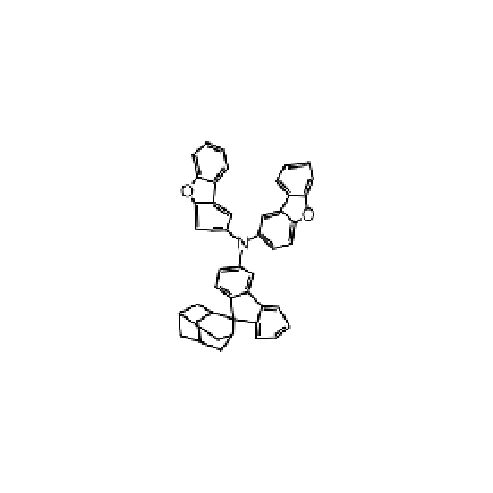 c1ccc2c(c1)-c1cc(N(c3ccc4oc5ccccc5c4c3)c3ccc4oc5ccccc5c4c3)ccc1C21C2CC3CC(C2)CC1C3